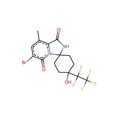 Cc1cc(Br)c(=O)n2c1C(=O)NC21CCC(O)(C(F)(F)C(F)(F)F)CC1